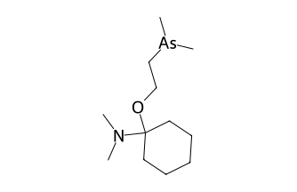 CN(C)C1(OCC[As](C)C)CCCCC1